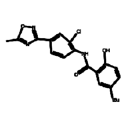 Cc1nc(-c2ccc(NC(=O)c3cc(C(C)(C)C)ccc3O)c(Cl)c2)no1